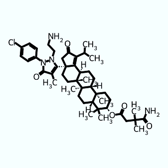 Cc1c([C@@]23CC[C@]4(C)[C@H](CC[C@@H]5[C@@]6(C)CC[C@H](OC(=O)CC(C)(C)C(N)=O)C(C)(C)[C@@H]6CC[C@]54C)C2=C(C(C)C)C(=O)C3)n(CCN)n(-c2ccc(Cl)cc2)c1=O